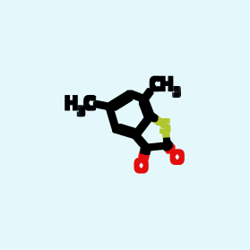 Cc1cc(C)c2c(c1)C(=O)C(=O)S2